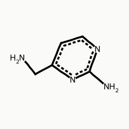 NCc1ccnc(N)n1